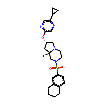 O=S(=O)(c1ccc2c(c1)CCCC2)N1CCN2C[C@@H](Oc3cnc(C4CC4)cn3)C[C@H]2C1